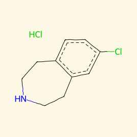 Cl.Clc1ccc2c(c1)CCNCC2